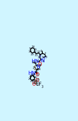 CC1C/C=C/N=C(C(=O)NC(C)c2ncc(C(=O)Nc3cccc(S(=O)(=O)C(F)(F)F)c3)s2)\C=C/1CCC1CCCCC1